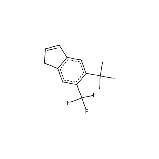 CC(C)(C)c1cc2c(cc1C(F)(F)F)CC=C2